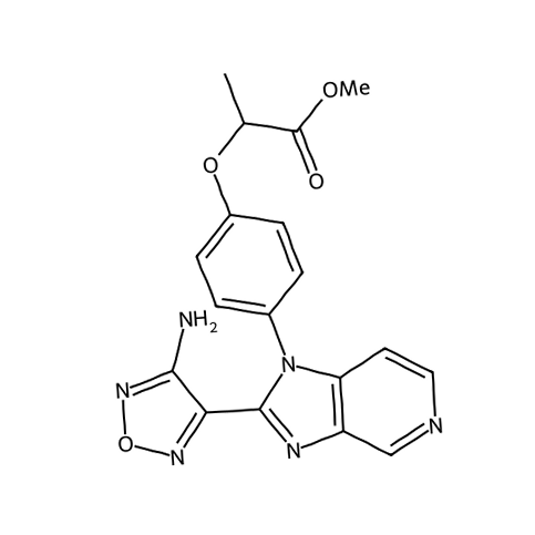 COC(=O)C(C)Oc1ccc(-n2c(-c3nonc3N)nc3cnccc32)cc1